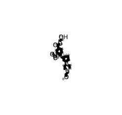 COCCN1CCN(c2cccc(Nc3ccc(C(=O)OCCO)cc3[N+](=O)[O-])c2)CC1